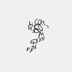 CC(C)(C)OC(=O)N1CCC(F)(F)C(c2ccnc(CN3CC(F)(F)C3)c2)C1